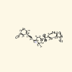 CCc1noc2ncc(S(=O)(=O)N3CC/C(=C\C#Cc4cccc(Cl)c4)C(C)(C)C3)cc12